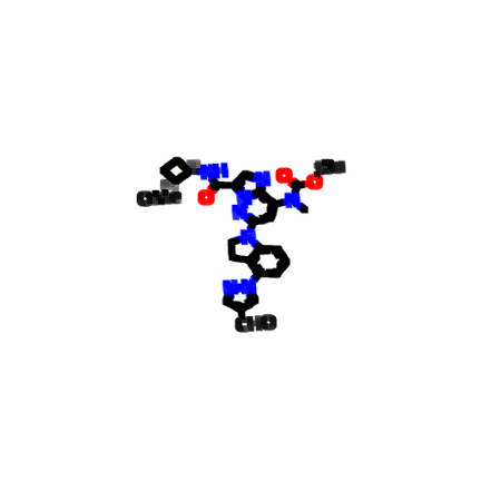 CO[C@@H]1CC[C@H]1NC(=O)c1cnc2c(N(C)C(=O)OC(C)(C)C)cc(N3CCc4c3cccc4-n3cc(C=O)cn3)nn12